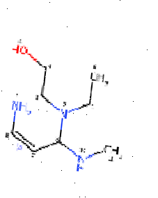 CCN(CCO)C(/C=C\N)NC